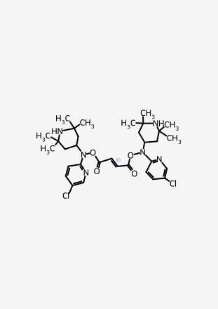 CC1(C)CC(N(OC(=O)/C=C/C(=O)ON(c2ccc(Cl)cn2)C2CC(C)(C)NC(C)(C)C2)c2ccc(Cl)cn2)CC(C)(C)N1